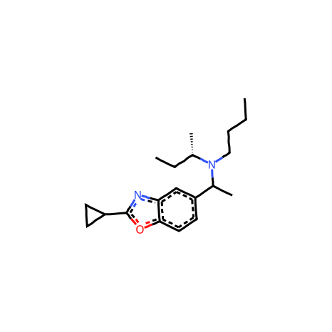 CCCCN(C(C)c1ccc2oc(C3CC3)nc2c1)[C@@H](C)CC